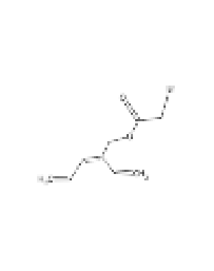 C=C/C=C(\C=C)COC(=O)CBr